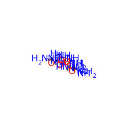 C#Cc1c(NC(=O)c2cc(C(=O)Nc3cccc(NC(=O)[C@H](N)CCCNC(=N)N)c3SCCN)c(OCCN)cc2OCCN)cccc1NC(=O)[C@H](N)CCCN